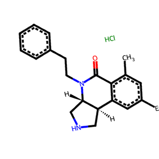 CCc1cc(C)c2c(c1)[C@H]1CNC[C@@H]1N(CCc1ccccc1)C2=O.Cl